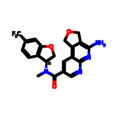 CN(C(=O)c1cnc2nc(N)c3c(c2c1)COC3)[C@H]1COc2cc(C(F)(F)F)ccc21